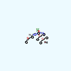 CN1CCN(c2ccc(N)c(OC(F)(F)F)c2)CC1.O=C(C=Cc1ccccc1)C=Cc1ccccc1.O=C(C=Cc1ccccc1)C=Cc1ccccc1.O=C(C=Cc1ccccc1)C=Cc1ccccc1.[Pd].[Pd]